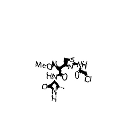 CO/N=C(\C(=O)N[C@H]1C(=O)N[C@H]1C)c1csc(NC(=O)CCl)n1